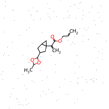 C=CCOC(=O)C(=C)C12CC(C3OC(C)O3)CC1C2